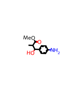 COC(=O)C(C)C(O)c1ccc(N)cc1